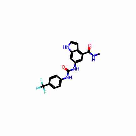 CNC(=O)c1cc(NC(=O)Nc2ccc(C(F)(F)F)cc2)cc2[nH]ccc12